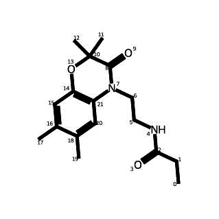 CCC(=O)NCCN1C(=O)C(C)(C)Oc2cc(C)c(C)cc21